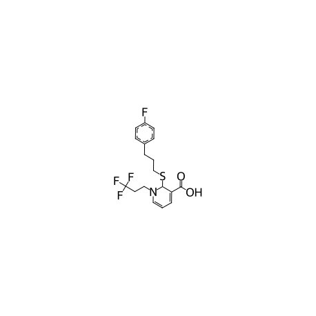 O=C(O)C1=CC=CN(CCC(F)(F)F)C1SCCCc1ccc(F)cc1